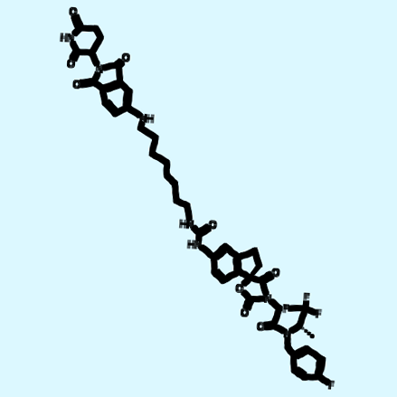 C[C@H](N(Cc1ccc(F)cc1)C(=O)CN1C(=O)O[C@@]2(CCc3cc(NC(=O)NCCCCCCCCNc4ccc5c(c4)C(=O)N(C4CCC(=O)NC4=O)C5=O)ccc32)C1=O)C(F)(F)F